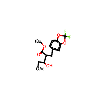 CC(=O)OCC(O)C(Cc1ccc2c(c1)OC(F)(F)O2)C(=O)OC(C)(C)C